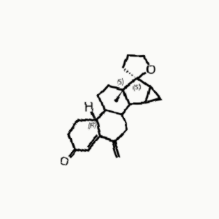 C=C1CC2C(CC[C@@]3(C)C2C2CC2[C@@]32CCCO2)[C@H]2CCC(=O)C=C12